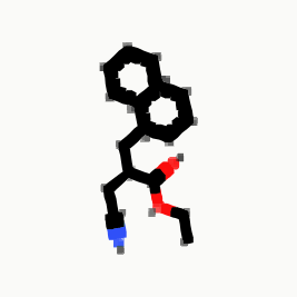 CCOC(=O)[C@@H](CC#N)Cc1cccc2ccccc12